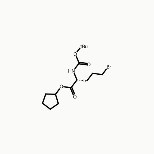 CC(C)(C)OC(=O)N[C@H](CCCBr)C(=O)OC1CCCC1